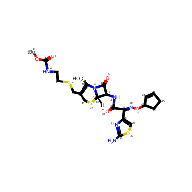 CC(C)(C)OC(=O)NCCSCC1=C(C(=O)O)N2C(=O)C(NC(=O)C(=NOC3C=CCC3)c3csc(N)n3)[C@@H]2SC1